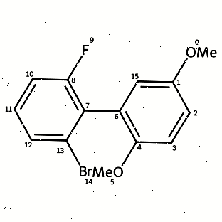 COc1ccc(OC)c(-c2c(F)cccc2Br)c1